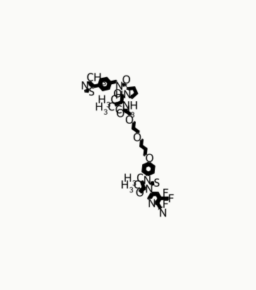 Cc1ncsc1-c1ccc(CNC(=O)[C@@H]2CCCN2C(=O)C(NC(=O)COCCCOCCCCOc2ccc(N3C(=S)N(c4cnc(C#N)c(C(F)(F)F)c4)C(=O)C3(C)C)cc2)C(C)(C)C)cc1